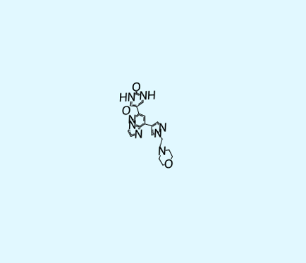 O=c1[nH]cc(-c2cc(-c3cnn(CCN4CCOCC4)c3)c3nccn3n2)c(=O)[nH]1